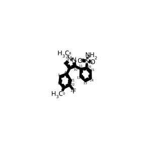 Cc1ccc(-c2cn(C)nc2-c2ccccc2S(N)(=O)=O)cc1F